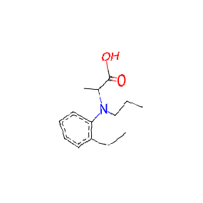 CCCN(c1ccccc1CC)C(C)C(=O)O